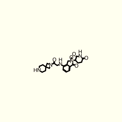 O=C1CCC([N+]2([O-])Cc3c(NCC(=O)N4CC5(CCNCC5)C4)cccc3C2=O)C(=O)N1